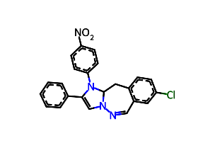 O=[N+]([O-])c1ccc(N2C(c3ccccc3)=CN3N=Cc4cc(Cl)ccc4CC32)cc1